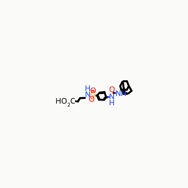 O=C(O)CCCNS(=O)(=O)c1ccc(NC(=O)NC23CC4CC(CC(C4)C2)C3)cc1